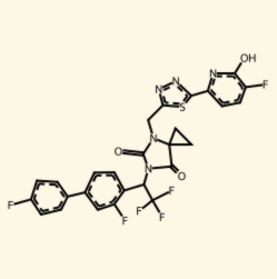 O=C1N(C(c2ccc(-c3ccc(F)cc3)cc2F)C(F)(F)F)C(=O)C2(CC2)N1Cc1nnc(-c2ccc(F)c(O)n2)s1